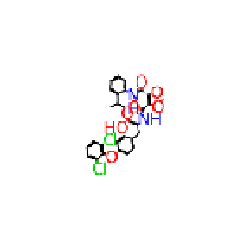 CC(C)c1ccccc1NC(=O)[C@@H]1OCO[C@H]1C(=O)N[C@@H](Cc1ccc(Oc2c(Cl)cccc2Cl)cc1)C(=O)O